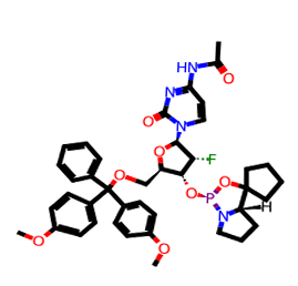 COc1ccc(C(OC[C@H]2O[C@@H](n3ccc(NC(C)=O)nc3=O)[C@H](F)[C@@H]2O[P@@]2OC3(CCCC3)[C@@H]3CCCN32)(c2ccccc2)c2ccc(OC)cc2)cc1